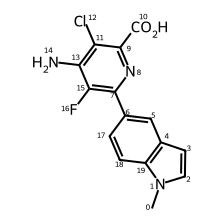 Cn1ccc2cc(-c3nc(C(=O)O)c(Cl)c(N)c3F)ccc21